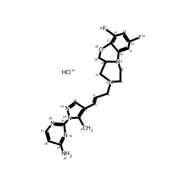 Cc1c(/C=C/CN2CCN3c4cc(F)cc(F)c4OCC3C2)cnn1-c1nccc(N)n1.Cl